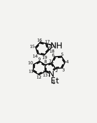 CCn1c2ccccc2c2ccccc21.c1ccc2c(c1)N2